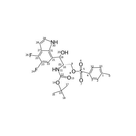 Cc1ccc(S(=O)(=O)OC[C@H](NC(=O)OC(C)(C)C)C(O)c2cc(F)c(F)c3cc[nH]c23)cc1